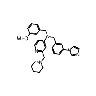 COc1cccc(CN(Cc2cccc(-n3ccnc3)c2)c2ccnc(CN3CCCCC3)c2)c1